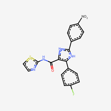 O=C(Nc1nccs1)c1nc(-c2ccc([N+](=O)[O-])cc2)[nH]c1-c1ccc(F)cc1